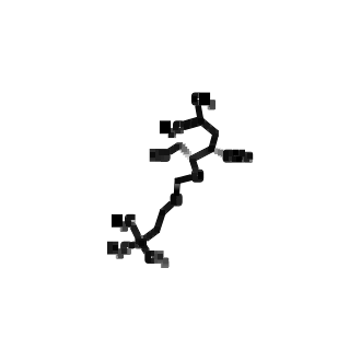 C=C(C)C[C@H](OC)[C@@H](CO)OCOCC[Si](C)(C)C